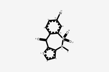 CN1c2ccsc2C(=O)c2ccc(Br)cc2S1(=O)=O